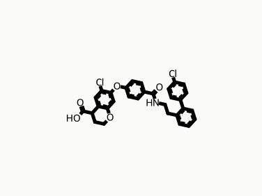 O=C(NCCc1ccccc1-c1ccc(Cl)cc1)c1ccc(Oc2cc3c(cc2Cl)C(C(=O)O)CCO3)cc1